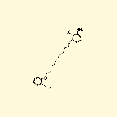 Cc1c(N)cccc1OCCCCCCCCCCOc1ccccc1N